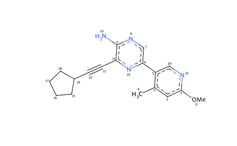 COc1cc(C)c(-c2cnc(N)c(C#CC3CCCC3)n2)cn1